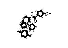 O=C(NC1=C[N+]2(N3CCC[C@@H]3c3cc(F)ccc3F)C=CC=C2N=C1)[C@H]1CC[C@@H](O)C1